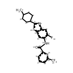 CC1CCC(c2nc3cc(F)c(NC(=O)c4cccc(C(F)(F)F)n4)cc3s2)CC1